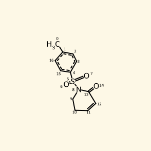 Cc1ccc(S(=O)(=O)N2CCC=CC2=O)cc1